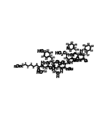 CCCCCCCCCCCCCCCC(=O)N[C@@H](CO)C(=O)N[C@@H](Cc1ccc(O)cc1)C(=O)N[C@@H](CO)[C@H](O)N[C@@H](CCCC)C(=O)N[C@@H](CCC(=O)O)C(=O)N[C@H](Cc1cccnc1)C(=O)N[C@H](Cc1ccccc1)C(=O)NC